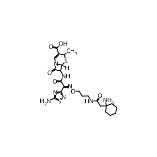 CC1S[C@@H]2C(NC(=O)C(=NOCCCNC(=O)CC3(N)CCCCC3)c3nsc(N)n3)C(=O)N2C=C1C(=O)O